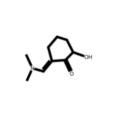 CN(C)C=C1CCCC(O)C1=O